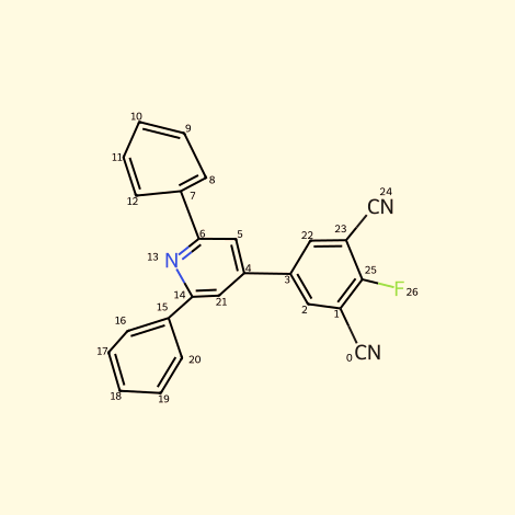 N#Cc1cc(-c2cc(-c3ccccc3)nc(-c3ccccc3)c2)cc(C#N)c1F